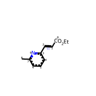 CCOC(=O)/C=C/c1cccc(C)n1